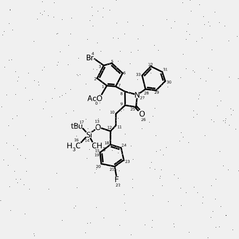 CC(=O)Oc1cc(Br)ccc1C1C(CCC(O[Si](C)(C)C(C)(C)C)c2ccc(F)cc2)C(=O)N1c1ccccc1